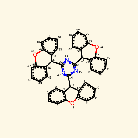 c1ccc2c(c1)Oc1ccccc1C2c1nc(C2c3ccccc3Oc3ccccc32)nc(C2c3ccccc3Oc3ccccc32)n1